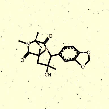 CN1C(=O)C23C[C@](C)(C#N)C(c4ccc5c(c4)OCO5)N2C(=O)[C@]1(C)S3